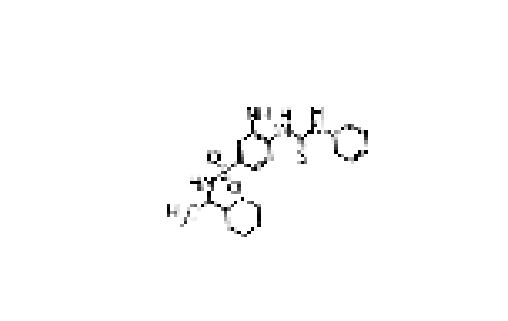 CC(NS(=O)(=O)c1ccc(NC(=S)Nc2ccccc2)c(N)c1)C1CCCCC1